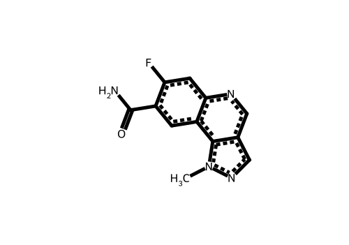 Cn1ncc2cnc3cc(F)c(C(N)=O)cc3c21